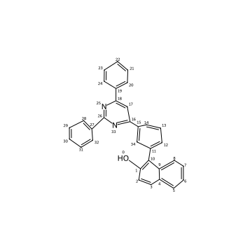 Oc1ccc2ccccc2c1-c1cccc(-c2cc(-c3ccccc3)nc(-c3ccccc3)n2)c1